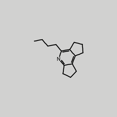 CCCCc1nc2c(c3c1CCC3)CCC2